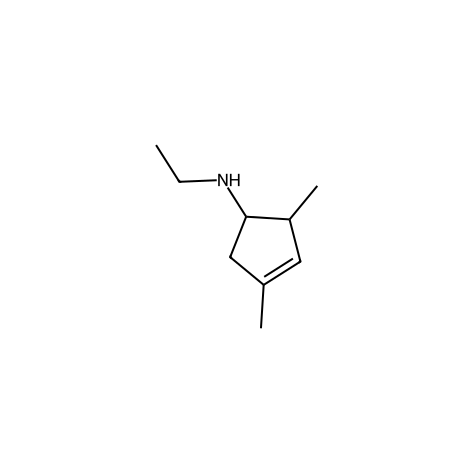 CCNC1CC(C)=CC1C